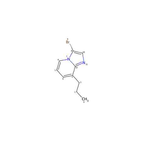 CCCc1cccn2c(Br)cnc12